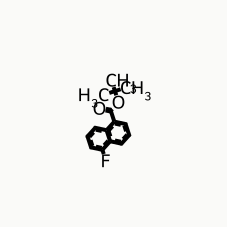 CC(C)(C)OC(=O)c1cccc2c(F)cccc12